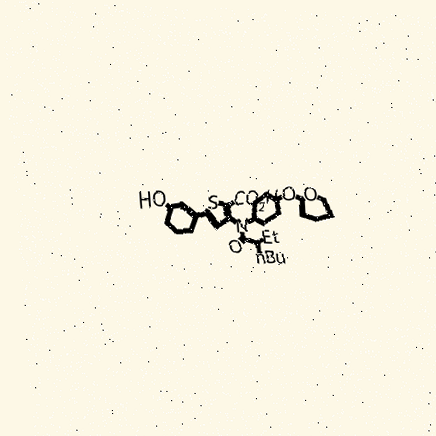 CCCCC(CC)C(=O)N(c1cc(C2=CC(O)CCC2)sc1C(=O)O)C1CCC(OC2CCCCO2)CC1